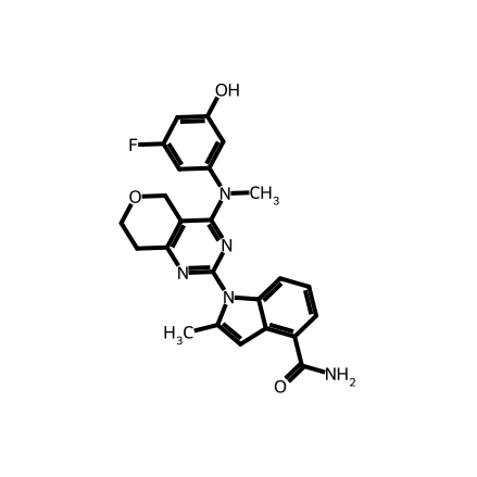 Cc1cc2c(C(N)=O)cccc2n1-c1nc2c(c(N(C)c3cc(O)cc(F)c3)n1)COCC2